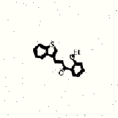 CCOc1ccccc1C(=O)C=Cc1csc2ccccc12